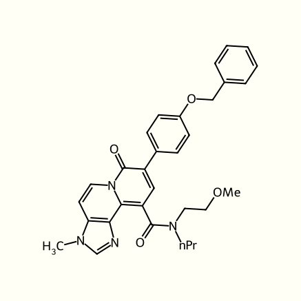 CCCN(CCOC)C(=O)c1cc(-c2ccc(OCc3ccccc3)cc2)c(=O)n2ccc3c(ncn3C)c12